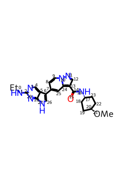 CCNc1ncc2c(-c3ccn4ncc(C(=O)N[C@H]5CC[C@H](OC)CC5)c4c3)c[nH]c2n1